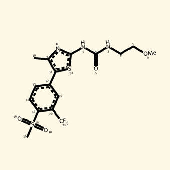 COCCNC(=O)Nc1nc(C)c(-c2ccc(S(C)(=O)=O)c(C(F)(F)F)c2)s1